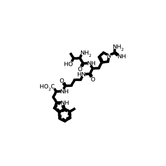 Cc1cccc2cc(CC(NC(=O)CCCNC(=O)C(CC3=CCN(C(=N)N)C3)NC(=O)C(N)C(C)O)C(=O)O)[nH]c12